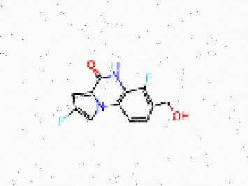 O=c1[nH]c2c(F)c(CO)ccc2n2cc(F)cc12